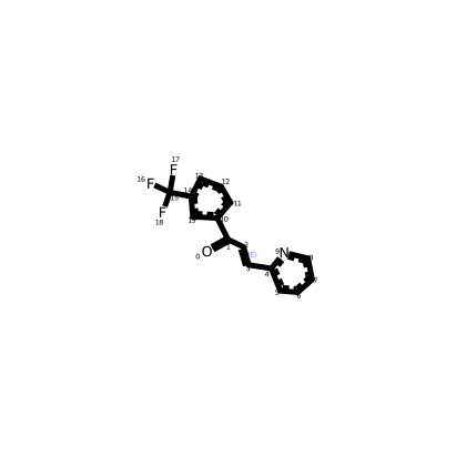 O=C(/C=C/c1ccccn1)c1cccc(C(F)(F)F)c1